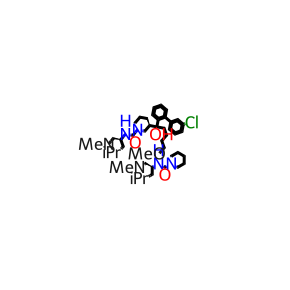 CNC[C@H](CC(C)C)NC(=O)N1CCCCC1.CNC[C@H](CC(C)C)NC(=O)N1CCC[C@@H]([C@@](O)(CCCCOC)c2ccccc2-c2cccc(Cl)c2)C1